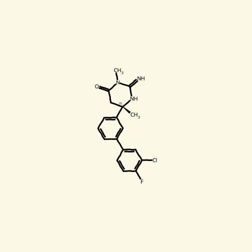 CN1C(=N)N[C@](C)(c2cccc(-c3ccc(F)c(Cl)c3)c2)CC1=O